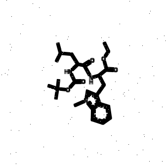 CCOC(=O)C(Cc1cn(C)c2ccccc12)NC(=O)C(CC(C)C)NC(=O)OC(C)(C)C